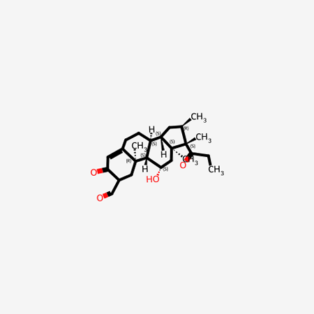 CCC(=O)[C@@]1(C)[C@H](C)C[C@H]2[C@@H]3CCC4=CC(=O)C(C=O)C[C@]4(C)[C@H]3[C@@H](O)C[C@@]21C